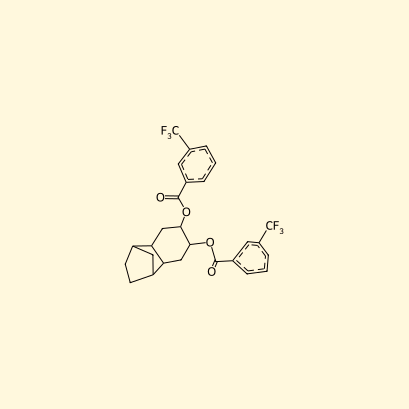 O=C(OC1CC2C3CCC(C3)C2CC1OC(=O)c1cccc(C(F)(F)F)c1)c1cccc(C(F)(F)F)c1